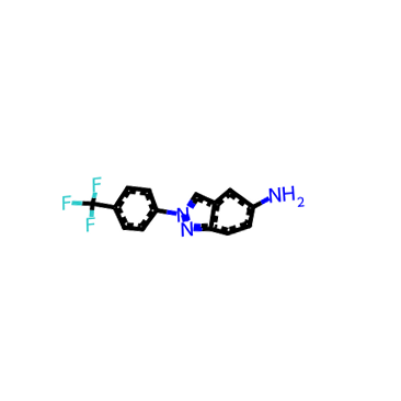 Nc1ccc2nn(-c3ccc(C(F)(F)F)cc3)cc2c1